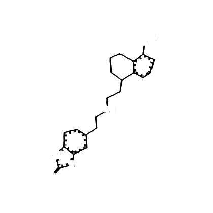 COc1cccc2c1CCCC2CCNCCc1ccc2oc(=O)[nH]c2c1